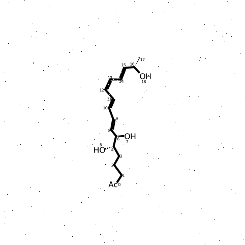 CC(=O)CCC[C@H](O)[C@H](O)/C=C/C=C/C=C\C=C\[C@H](C)O